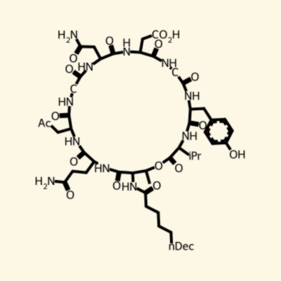 CCCCCCCCCCCCCCC(=O)NC1C(=O)NC(CCC(N)=O)C(=O)NC(CC(C)=O)C(=O)NCC(=O)NC(CC(N)=O)C(=O)NC(CC(=O)O)C(=O)NCC(=O)NC(Cc2ccc(O)cc2)C(=O)NC(C(C)C)C(=O)OC1C